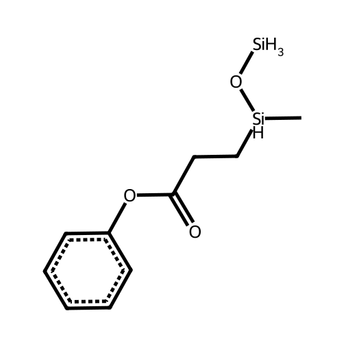 C[SiH](CCC(=O)Oc1ccccc1)O[SiH3]